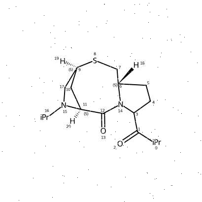 CC(C)C(=O)C1CC[C@H]2CS[C@H]3C[C@@H](C(=O)N12)N(C(C)C)C3